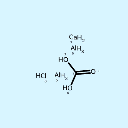 Cl.O=C(O)O.[AlH3].[AlH3].[CaH2]